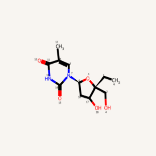 CC[C@]1(CO)O[C@H](n2cc(C)c(=O)[nH]c2=O)CC1O